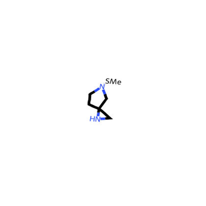 CSN1CCC2(CN2)C1